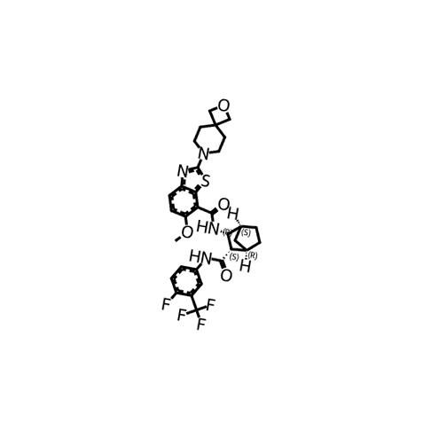 COc1ccc2nc(N3CCC4(CC3)COC4)sc2c1C(=O)N[C@@H]1[C@H]2CC[C@H](C2)[C@@H]1C(=O)Nc1ccc(F)c(C(F)(F)F)c1